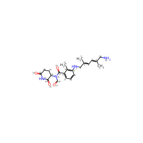 C/C(=C\C=C(/C)CNc1cccc(C(=O)N(C=O)C2CCC(=O)NC2=O)c1C)CN